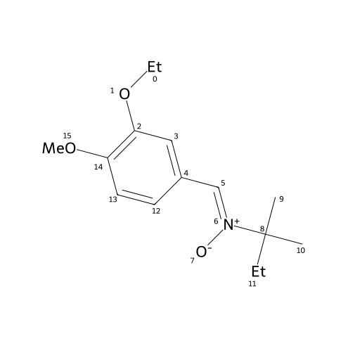 CCOc1cc(C=[N+]([O-])C(C)(C)CC)ccc1OC